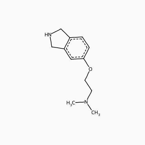 CN(C)CCOc1ccc2c(c1)CNC2